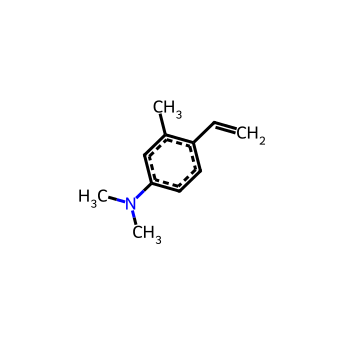 C=Cc1ccc(N(C)C)cc1C